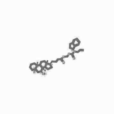 C=CCN(C(=O)OCOC(=O)CCC[C@H]1CCC2[C@H]3C(CC[C@@]21C)[C@@]1(C)CCCC[C@H]1C[C@@H]3O)[C@@H]1CCc2ccccc21